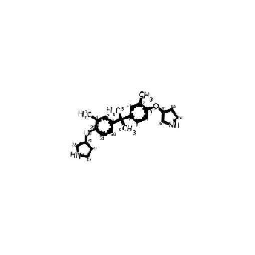 Cc1cc(C(C)(C)c2ccc(OC3CCNC3)c(C)c2)ccc1OC1CCNC1